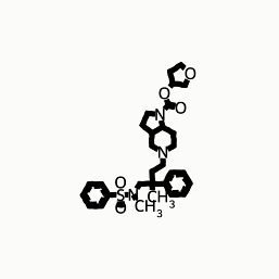 CN(CC(C)(CCN1CCC2C(CCN2C(=O)OC2CCOC2)C1)c1ccccc1)S(=O)(=O)c1ccccc1